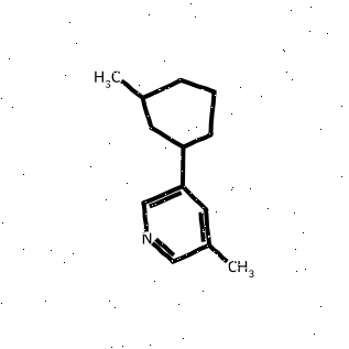 Cc1cncc(C2CCCC(C)C2)c1